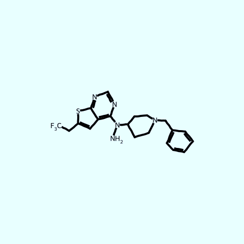 NN(c1ncnc2sc(CC(F)(F)F)cc12)C1CCN(Cc2ccccc2)CC1